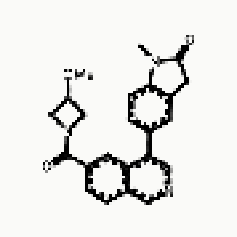 COC1CN(C(=O)c2ccc3cncc(-c4ccc5c(c4)CC(=O)N5C)c3c2)C1